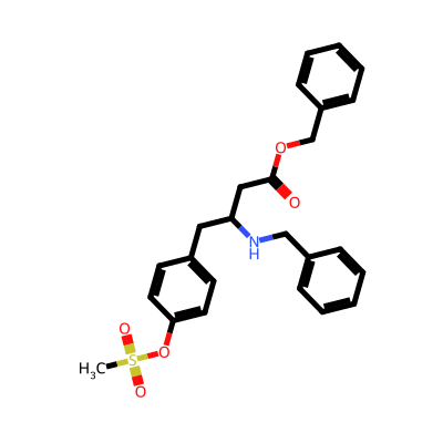 CS(=O)(=O)Oc1ccc(CC(CC(=O)OCc2ccccc2)NCc2ccccc2)cc1